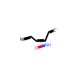 N=O.[CH-]=C/C=C\[CH]=[Ni]